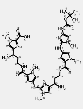 Cn1cc(Nc2nc(NC(=O)OC(C)(C)C)cn2C)cc1C(=O)NCCC(N)c1cn(C)c(Nc2cc(C(=O)NCCC(N)c3cn(C)c(C(=O)O)n3)n(C)c2)n1